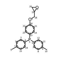 Cc1ccc(P(c2ccc(C)cc2)c2ccc(OCC3CO3)cc2)cc1